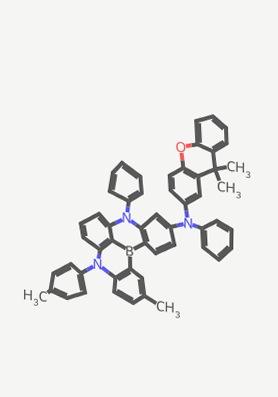 Cc1ccc(N2c3ccc(C)cc3B3c4ccc(N(c5ccccc5)c5ccc6c(c5)C(C)(C)c5ccccc5O6)cc4N(c4ccccc4)c4cccc2c43)cc1